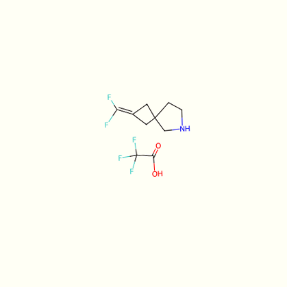 FC(F)=C1CC2(CCNC2)C1.O=C(O)C(F)(F)F